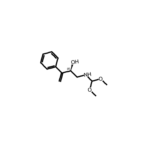 C=C(c1ccccc1)[C@@H](O)CNC(OC)OC